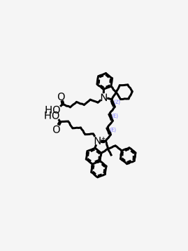 CC1(Cc2ccccc2)C(/C=C/C=C/C=C2\N(CCCCCC(=O)O)c3ccccc3C23CCCCC3)=[N+](CCCCCC(=O)O)c2ccc3ccccc3c21